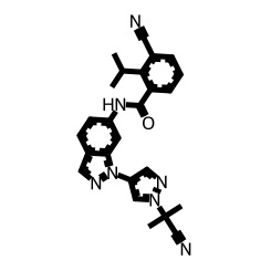 CC(C)c1c(C#N)cccc1C(=O)Nc1ccc2cnn(-c3cnn(C(C)(C)C#N)c3)c2c1